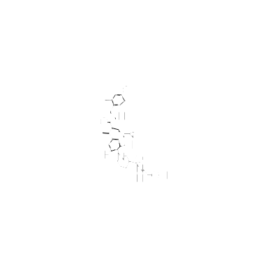 C=C1C(C(=O)NCc2ccc(Cl)cc2C)=CN(C2CC2)c2c1cc(F)c(N1CCCC(C(=O)NCCO)C1)c2Cl